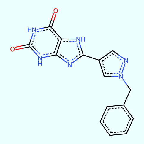 O=c1[nH]c(=O)c2[nH]c(-c3cnn(Cc4ccccc4)c3)nc2[nH]1